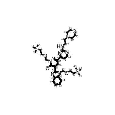 C[Si](C)(C)CCOCn1nc(-c2ccnc(NCCN3CCOCC3)n2)cc(-c2nc3ccccc3n2COCC[Si](C)(C)C)c1=O